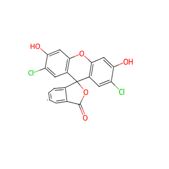 O=C1OC2(c3cc(Cl)c(O)cc3Oc3cc(O)c(Cl)cc32)c2cc[c]cc21